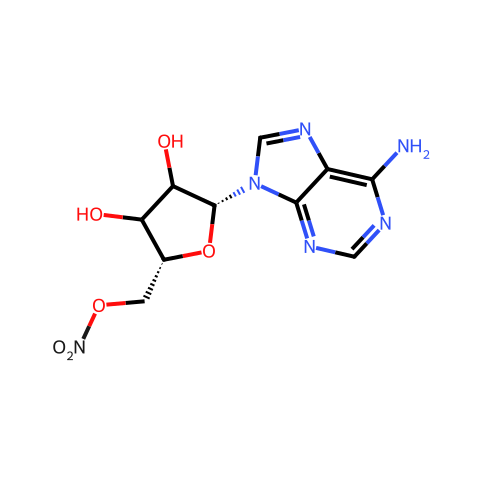 Nc1ncnc2c1ncn2[C@@H]1O[C@H](CO[N+](=O)[O-])C(O)C1O